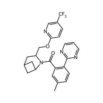 Cc1ccc(-c2ncccn2)c(C(=O)N2C(COc3ccc(C(F)(F)F)cn3)CC3CC2C3)c1